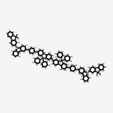 CC1(C)c2ccccc2-c2ccc(-n3c4ccccc4c4cc(-c5ccc(-c6ccc7c(c6)C(c6ccccc6)(c6ccccc6)c6cc(-c8ccc9c(c8)C(c8ccccc8)(c8ccccc8)c8cc(-c%10ccc(-c%11ccc%12c(c%11)c%11ccccc%11n%12-c%11ccc%12c(c%11)C(C)(C)c%11ccccc%11-%12)cc%10)ccc8-9)ccc6-7)cc5)ccc43)cc21